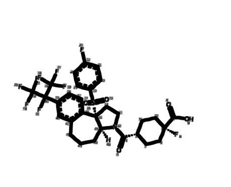 O=C([C@H]1CC[C@](F)(C(=O)O)CC1)N1CC[C@]2(S(=O)(=O)c3ccc(F)cc3)c3ccc(C(F)(C(F)(F)F)C(F)(F)F)cc3CCC[C@H]12